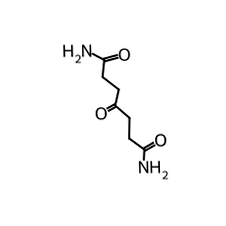 NC(=O)CCC(=O)CCC(N)=O